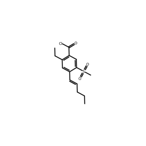 CCC/C=C/c1cc(CC)c(C(=O)Cl)cc1S(C)(=O)=O